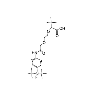 CC(C)(C)C(OCCOCC(=O)Nc1ccc([Si](F)(C(C)(C)C)C(C)(C)C)cn1)C(=O)O